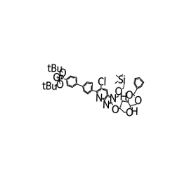 CC(C)(C)OP(=O)(OC(C)(C)C)c1ccc(-c2ccc(-c3nc4nc(O[C@H]5CO[C@@H]6COC(c7ccccc7)O[C@H]6C5)n(COCC[Si](C)(C)C)c4cc3Cl)cc2)cc1